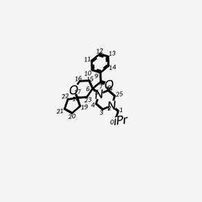 CC(C)CN1CCN(C2(C(=O)c3ccccc3)CCOC3(CCCC3)C2)CC1